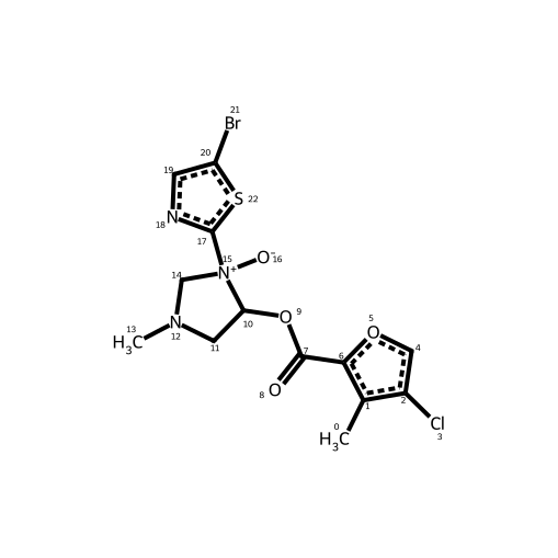 Cc1c(Cl)coc1C(=O)OC1CN(C)C[N+]1([O-])c1ncc(Br)s1